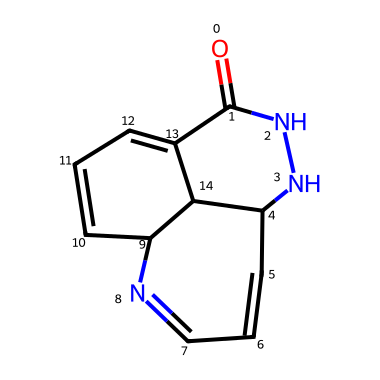 O=C1NNC2C=CC=NC3C=CC=C1C32